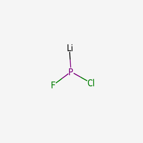 [Li][P](F)Cl